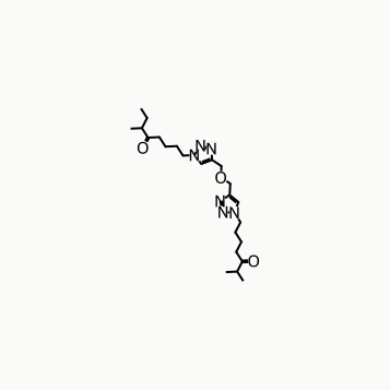 CCC(C)C(=O)CCCCn1cc(COCc2cn(CCCCC(=O)C(C)C)nn2)nn1